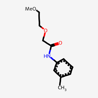 COCCOCC(=O)Nc1cccc(C)c1